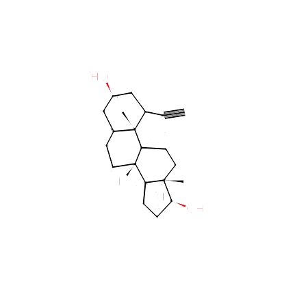 C#CC1C[C@H](O)CC2CC[C@@H]3[C@H](CC[C@]4(C)[C@@H](O)CC[C@@H]34)[C@@]12C